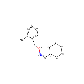 N#Cc1ccccc1CO/N=[C]\C1CCCCC1